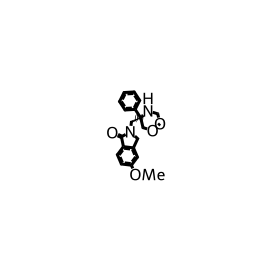 COc1ccc2c(c1)CN(C[C@]1(c3ccccc3)COOCN1)C2=O